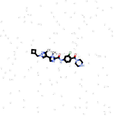 Cn1c(-c2cn(CC3CCC3)nc2C(F)(F)F)cnc1C(=O)Nc1ccc(C(=O)N2CCNCC2)c(Cl)c1